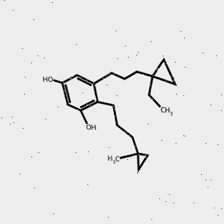 CCC1(CCCc2cc(O)cc(O)c2CCCC2(C)CC2)CC1